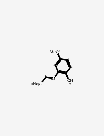 CCCCCCCCOc1cc(OC)ccc1O